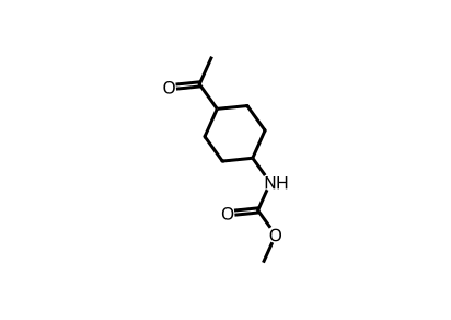 COC(=O)NC1CCC(C(C)=O)CC1